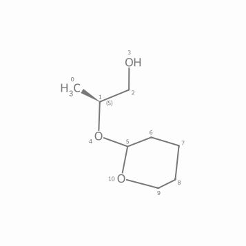 C[C@@H](CO)OC1CCCCO1